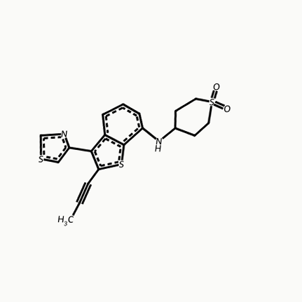 CC#Cc1sc2c(NC3CCS(=O)(=O)CC3)cccc2c1-c1cscn1